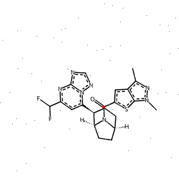 Cc1nn(C)c2sc(C(=O)N3[C@H]4CC[C@H](c5cc(C(F)F)nc6ncnn56)[C@@H]3CC4)cc12